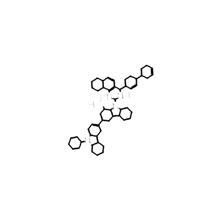 CC1CC(C2=CCC3C(C2)C2CCCCC2N3C2CCCCC2)CC2C3CCCCC3N(C3NC4=C(C=CC5CCCCC45)C(C4C=CC(C5CC=CCC5)CC4)N3)C12